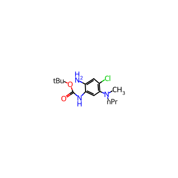 CCCN(C)c1cc(NC(=O)OC(C)(C)C)c(N)cc1Cl